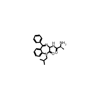 CC(C)CN1C(=O)C(NC(=O)[C@H](C)N)N=C(c2ccccc2)c2ccccc21